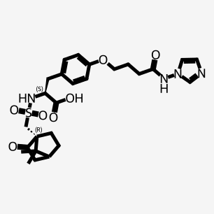 CC1(C)C2CC[C@]1(CS(=O)(=O)N[C@@H](Cc1ccc(OCCCC(=O)Nn3ccnc3)cc1)C(=O)O)C(=O)C2